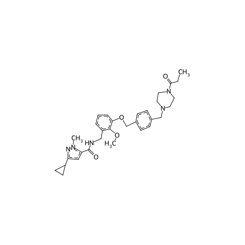 CCC(=O)N1CCN(Cc2ccc(COc3cccc(CNC(=O)c4cc(C5CC5)nn4C)c3OC)cc2)CC1